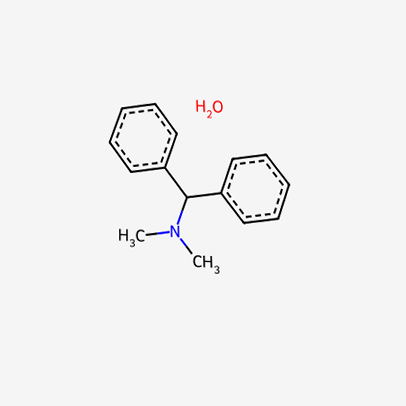 CN(C)C(c1ccccc1)c1ccccc1.O